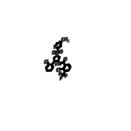 Cn1cnc(S(=O)(=O)N2CC(NC(=O)c3cccc(C(F)(F)F)c3Cl)C(c3ccccc3Cl)C2)c1